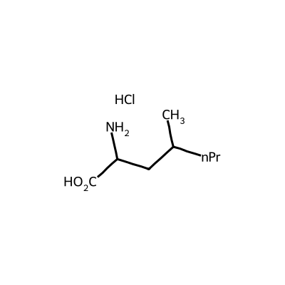 CCCC(C)CC(N)C(=O)O.Cl